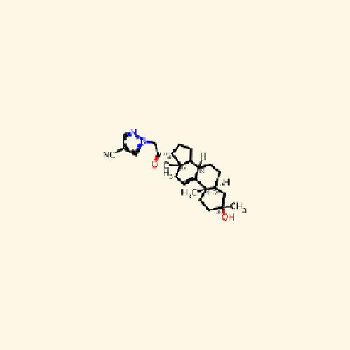 C[C@@]1(O)CC[C@]2(C)C3=CC[C@@]4(C)C(CC[C@H]4C(=O)Cn4cc(C#N)cn4)[C@@H]3CC[C@H]2C1